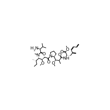 C=C/C=C\C(=C)C[C@H](NC(=O)C(C)[C@@H](OC)[C@@H]1CCCN1C(=O)C[C@@H](OC)[C@H]([C@@H](C)CC)N(C)C(=O)[C@@H](N)C(C)C)C(=O)OC